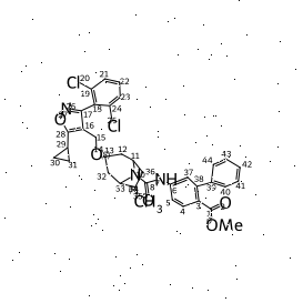 COC(=O)c1ccc(NC(=O)N2C3C[C@H](OCc4c(-c5c(Cl)cccc5Cl)noc4C4CC4)CC2[C@H](C)C3)cc1-c1ccccc1